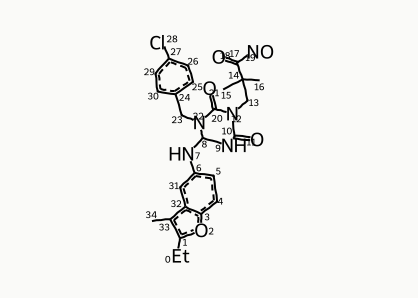 CCc1oc2ccc(NC3NC(=O)N(CC(C)(C)C(=O)N=O)C(=O)N3Cc3ccc(Cl)cc3)cc2c1C